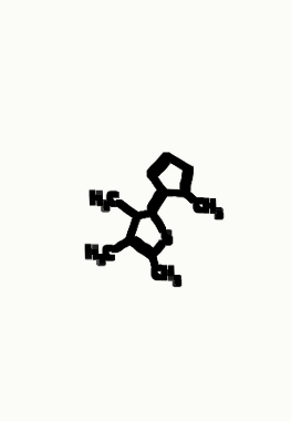 CC1=CC=CC1=C1SC(C)=C(C)C1C